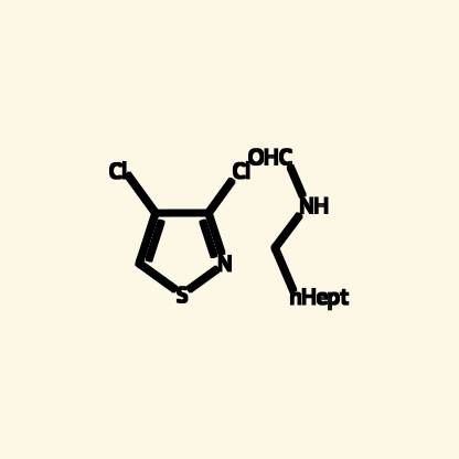 CCCCCCCCNC=O.Clc1csnc1Cl